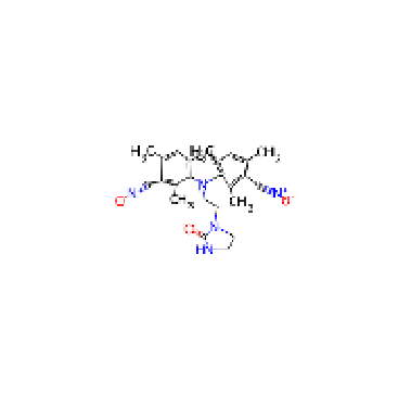 Cc1cc(C)c(N(CCN2CCNC2=O)c2c(C)cc(C)c(C#[N+][O-])c2C)c(C)c1C#[N+][O-]